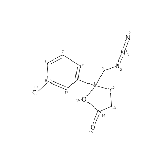 [N-]=[N+]=NCC1(c2cccc(Cl)c2)CCC(=O)O1